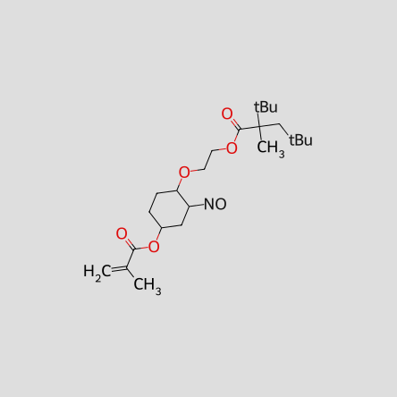 C=C(C)C(=O)OC1CCC(OCCOC(=O)C(C)(CC(C)(C)C)C(C)(C)C)C(N=O)C1